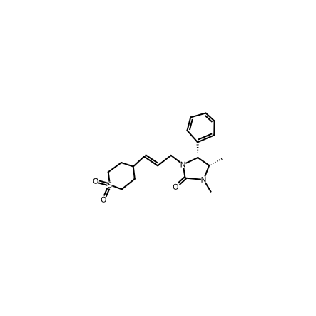 C[C@H]1[C@@H](c2ccccc2)N(CC=CC2CCS(=O)(=O)CC2)C(=O)N1C